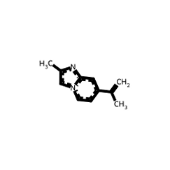 C=C(C)c1ccn2cc(C)nc2c1